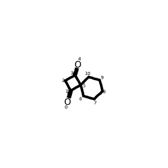 O=C1CC(=O)C12CCCCC2